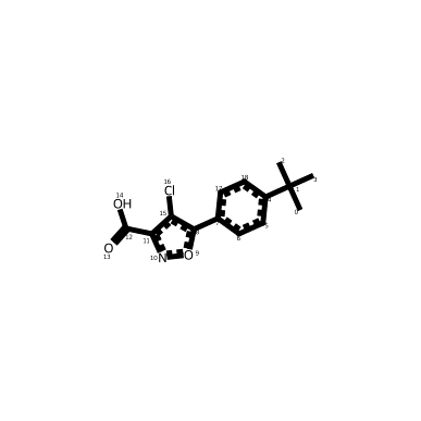 CC(C)(C)c1ccc(-c2onc(C(=O)O)c2Cl)cc1